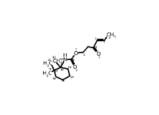 CC=CC(=O)CCOC(=O)NC1(C)CCCCC1(C)C